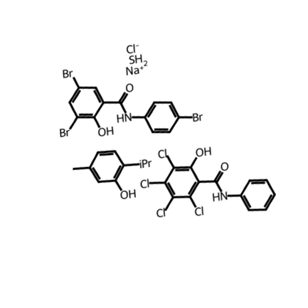 Cc1ccc(C(C)C)c(O)c1.O=C(Nc1ccc(Br)cc1)c1cc(Br)cc(Br)c1O.O=C(Nc1ccccc1)c1c(O)c(Cl)c(Cl)c(Cl)c1Cl.S.[Cl-].[Na+]